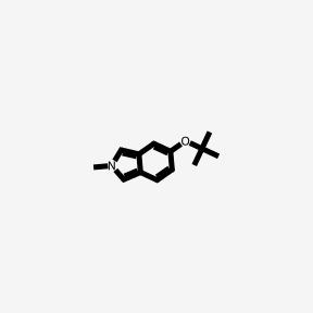 Cn1cc2ccc(OC(C)(C)C)cc2c1